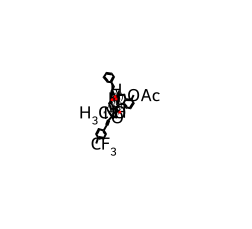 CC(=O)Oc1ccc2c3c1C[C@@H]1[C@@H]4CC[C@H](N(C)C(=O)C#Cc5ccc(C(F)(F)F)cc5)[C@H](O2)[C@]34CCN1CCc1ccccc1